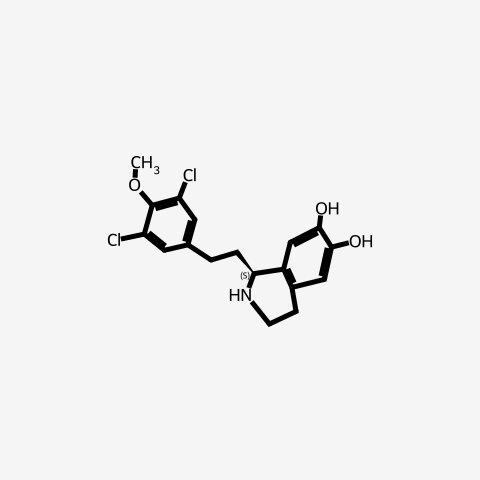 COc1c(Cl)cc(CC[C@@H]2NCCc3cc(O)c(O)cc32)cc1Cl